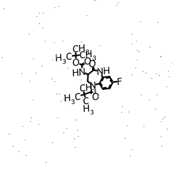 CC(C)(C)OC(=O)NC1CN(C(=O)C(C)(C)C)c2ccc(F)cc2NC1=O